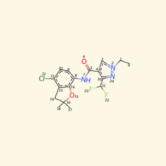 CCn1cc(C(=O)Nc2ccc(Cl)c3c2OC(C)(C)C3)c(C(F)F)n1